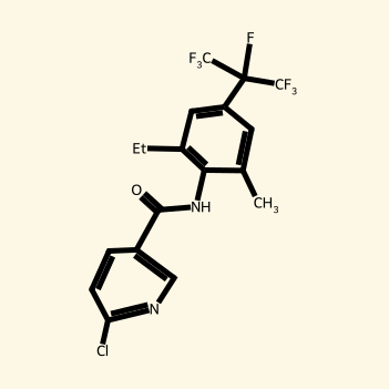 CCc1cc(C(F)(C(F)(F)F)C(F)(F)F)cc(C)c1NC(=O)c1ccc(Cl)nc1